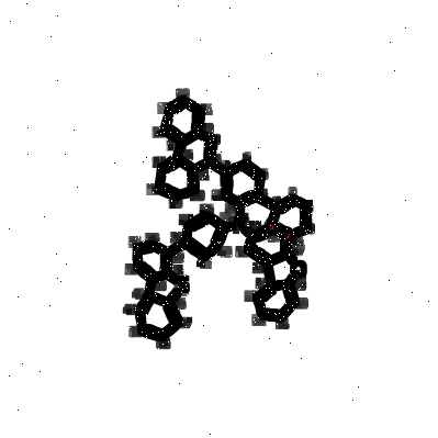 c1ccc(-c2ccc(-c3cc4ccccc4c4ccccc34)cc2N(c2ccc(-c3cccc4c3sc3ccccc34)cc2)c2ccc3oc4ccccc4c3c2)cc1